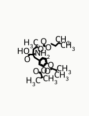 CC(C)CCOC(=O)O[C@@H](C)CC(N)(Cc1ccc(OC(=O)C(C)C)c(OC(=O)C(C)C)c1)C(=O)O